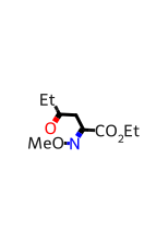 CCOC(=O)C(CC(=O)CC)=NOC